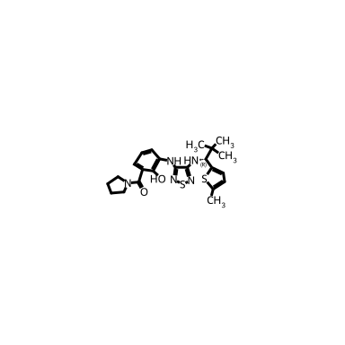 Cc1ccc([C@H](Nc2nsnc2Nc2cccc(C(=O)N3CCCC3)c2O)C(C)(C)C)s1